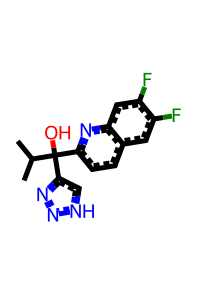 CC(C)C(O)(c1c[nH]nn1)c1ccc2cc(F)c(F)cc2n1